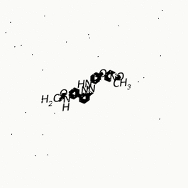 C=CC(=O)Nc1cccc(-c2cccc3cnc(Nc4ccc(OC5CCN(C(C)=O)CC5)cc4)nc23)c1